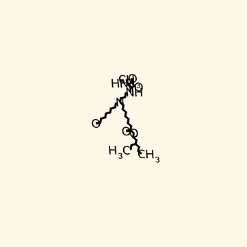 CCCC(CCC)CCOC(=O)CCCCCCCN(CCCCCCCC=O)CCCNc1c(NC)c(=O)c1=O